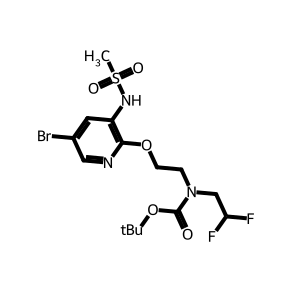 CC(C)(C)OC(=O)N(CCOc1ncc(Br)cc1NS(C)(=O)=O)CC(F)F